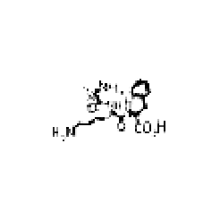 C[C@H](N)C(=O)N[C@@H](CCCCN)C(=O)N[C@@H](Cc1ccccc1)C(=O)O